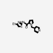 CCc1csc(NC(=O)c2cccn2Cc2ccncc2)n1